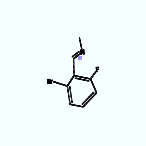 C/N=C/c1c(F)cccc1Br